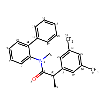 C[C@@H](C(=O)N(C)c1ccccc1-c1ccccc1)c1cc(C(F)(F)F)cc(C(F)(F)F)c1